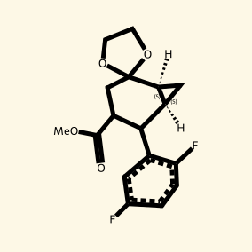 COC(=O)C1CC2(OCCO2)[C@H]2C[C@H]2C1c1cc(F)ccc1F